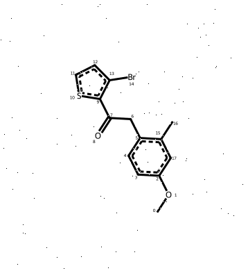 COc1ccc(CC(=O)c2sccc2Br)c(C)c1